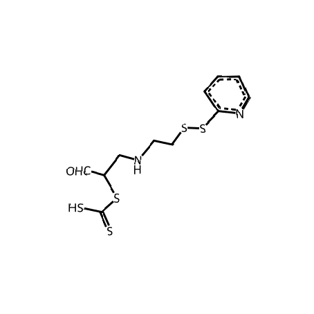 O=CC(CNCCSSc1ccccn1)SC(=S)S